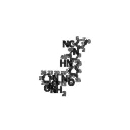 C#C/C=C(\C(C#N)=C/C)N1CCC(Nc2cc(C(=O)N3CCN(c4ccccc4S(N)(=O)=O)CC3)c(C)cc2C)C(C)C1